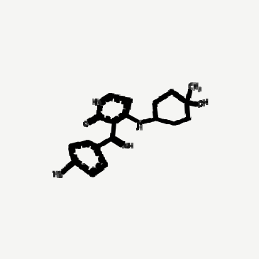 CC1(O)CCC(Nc2cc[nH]c(=O)c2C(=N)c2ccc(S)cc2)CC1